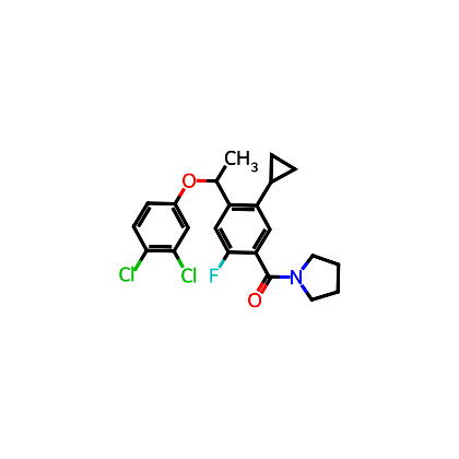 CC(Oc1ccc(Cl)c(Cl)c1)c1cc(F)c(C(=O)N2CCCC2)cc1C1CC1